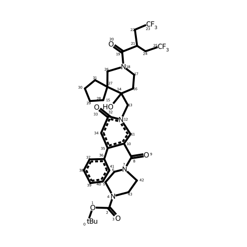 CC(C)(C)OC(=O)N1CCN(C(=O)c2cn(CC3(O)CCN(C(=O)C(CC(F)(F)F)CC(F)(F)F)CC34CCCC4)c(=O)cc2-c2ccccc2)CC1